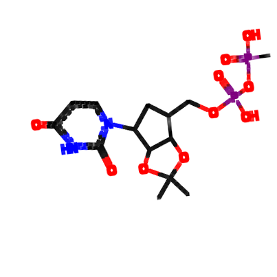 CC1(C)OC2C(COP(=O)(O)OP(C)(=O)O)CC(n3ccc(=O)[nH]c3=O)C2O1